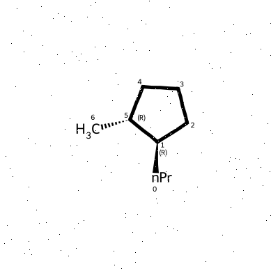 CCC[C@@H]1CCC[C@H]1C